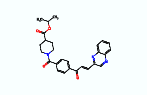 CC(C)OC(=O)C1CCN(C(=O)c2ccc(C(=O)C=Cc3cnc4ccccc4n3)cc2)CC1